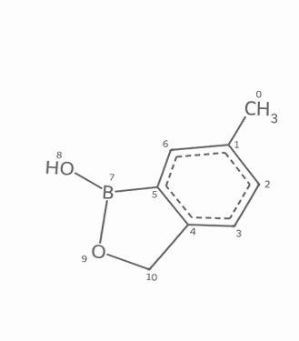 Cc1ccc2c(c1)B(O)OC2